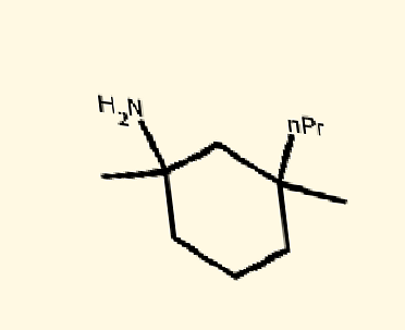 CCCC1(C)CCCC(C)(N)C1